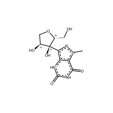 Cn1nc([C@]2(O)[C@@H](O)CO[C@@H]2CO)c2[nH]c(=O)[nH]c(=O)c21